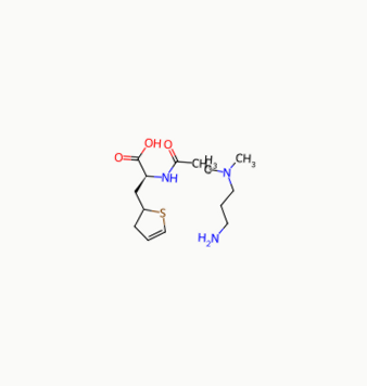 CC(=O)N[C@@H](CC1CC=CS1)C(=O)O.CN(C)CCCN